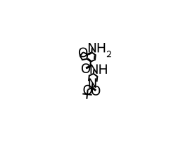 CC(C)(C)OC(=O)N1CCC(NC(=O)c2ccc(N)c3c2CCO3)CC1